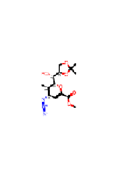 COC(=O)C1=C[C@H](N=[N+]=[N-])[C@@H](C)[C@H]([C@H](O)[C@H]2COC(C)(C)O2)O1